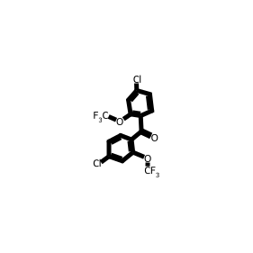 O=C(c1ccc(Cl)cc1OC(F)(F)F)c1ccc(Cl)cc1OC(F)(F)F